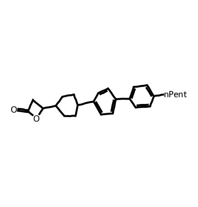 CCCCCc1ccc(-c2ccc(C3CCC(C4CC(=O)O4)CC3)cc2)cc1